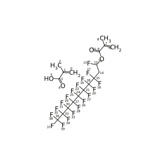 C=C(C)C(=O)O.C=C(C)C(=O)OC(F)CC(F)(F)C(F)(F)C(F)(F)C(F)(F)C(F)(F)C(F)(F)C(F)(F)C(F)(F)F